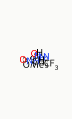 CO[C@@H]1COCC[C@@H]1N[C@@H]1C=C[C@@]2(C1)C(=O)N1C(C2C)[C@@H]2C[C@H]1CN2c1cc(C(F)(F)F)ccn1